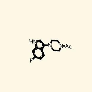 CC(=O)N1CCN(c2c[nH]c3cc(F)ccc23)CC1